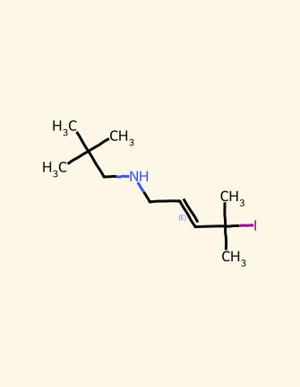 CC(C)(I)/C=C/CNCC(C)(C)C